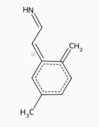 C=c1ccc(C)c/c1=C/C=N